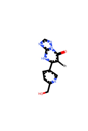 CC(C)c1c(-c2ccc(CO)nc2)[nH]c2ncnn2c1=O